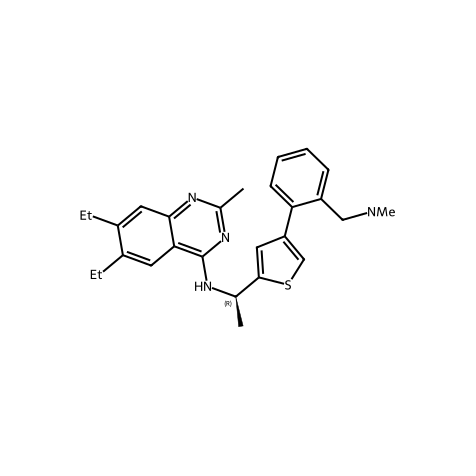 CCc1cc2nc(C)nc(N[C@H](C)c3cc(-c4ccccc4CNC)cs3)c2cc1CC